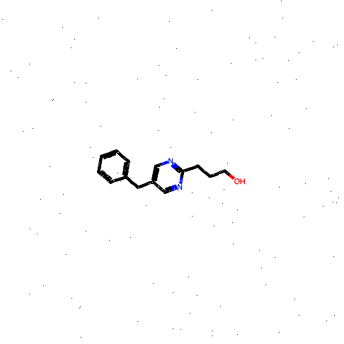 OCCCc1ncc(Cc2ccccc2)cn1